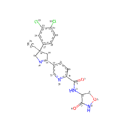 O=C(NC1CONC1=O)c1ccc(C2=NCC(c3ccc(Cl)c(Cl)c3)(C(F)(F)F)C2)cn1